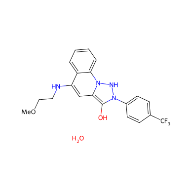 COCCNC1=CC2=C(O)N(c3ccc(C(F)(F)F)cc3)NN2c2ccccc21.O